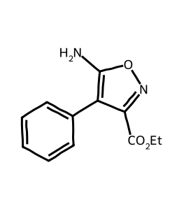 CCOC(=O)c1noc(N)c1-c1ccccc1